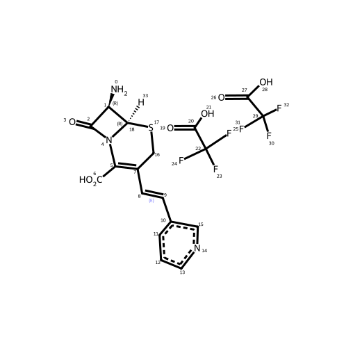 N[C@@H]1C(=O)N2C(C(=O)O)=C(/C=C/c3cccnc3)CS[C@H]12.O=C(O)C(F)(F)F.O=C(O)C(F)(F)F